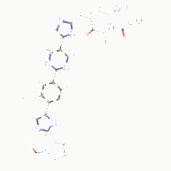 CCC(=O)N1CCC[C@H]1c1ncc(-c2ccc(-c3ncc(-c4c[nH]c(CC(CCN)C(=O)[C@H](C)NC(=O)OC)n4)cn3)cc2F)[nH]1